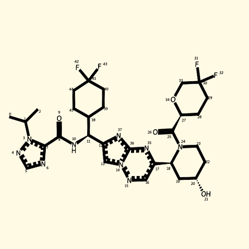 CC(C)n1ncnc1C(=O)N[C@H](c1cn2ncc([C@@H]3C[C@@H](O)CCN3C(=O)[C@@H]3CCC(F)(F)CO3)nc2n1)C1CCC(F)(F)CC1